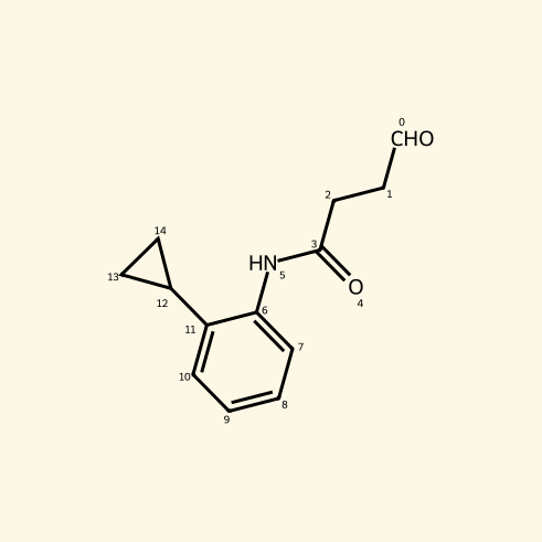 O=CCCC(=O)Nc1ccccc1C1CC1